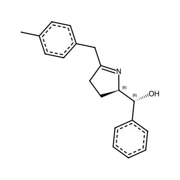 Cc1ccc(CC2=N[C@@H]([C@H](O)c3ccccc3)CC2)cc1